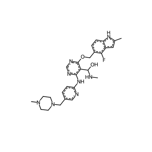 CNC(O)c1c(Nc2ccc(CN3CCN(C)CC3)cn2)ncnc1OCc1ccc2[nH]c(C)cc2c1F